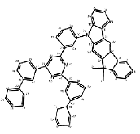 CC1(C)c2ccccc2-c2cc3c4ccccc4n(-c4cccc(-c5cc(-c6cccc(-c7ccccc7)c6)nc(-c6cccc(C7C=CC=CC7)c6)n5)c4)c3cc21